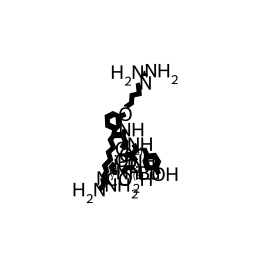 CC[C@H](C)[C@H](NC(=O)[C@H](Cc1ccc(O)cc1)NC(=O)c1[nH]c2c(OCCCCCN=C(N)N)cccc2c1CCCCCCN=C(N)N)C(=O)N[C@@H](CC(C)C)C(=O)O